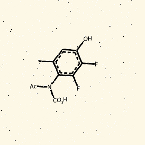 CC(=O)N(C(=O)O)c1c(C)cc(O)c(F)c1F